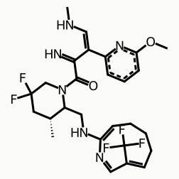 CN/C=C(\C(=N)C(=O)N1CC(F)(F)C[C@@H](C)C1CNC1=C/CCC/C=C(C(F)(F)F)/C=N\1)c1cccc(OC)n1